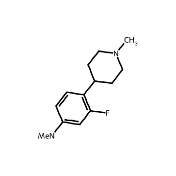 CNc1ccc(C2CCN(C)CC2)c(F)c1